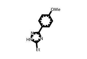 CCc1nc(-c2ccc(OC)cc2)n[nH]1